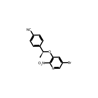 C[C@H](Oc1cc(Br)cnc1[N+](=O)[O-])c1ccc(C#N)cc1